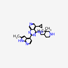 Cc1cc2c(-c3nc(NCC4CCNCC4(C)C)c4c(C5CC5)cncc4n3)ccnc2[nH]1